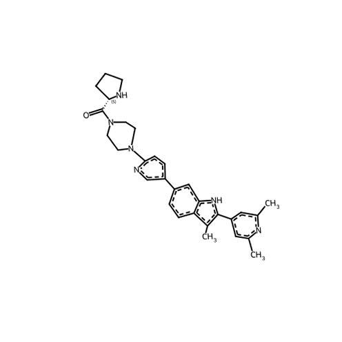 Cc1cc(-c2[nH]c3cc(-c4ccc(N5CCN(C(=O)[C@@H]6CCCN6)CC5)nc4)ccc3c2C)cc(C)n1